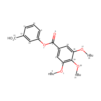 CCCCOc1cc(C(=O)Oc2cccc(C(=O)O)c2)cc(OCCCC)c1OCCCC